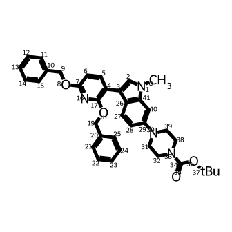 Cn1cc(-c2ccc(OCc3ccccc3)nc2OCc2ccccc2)c2ccc(N3CCN(C(=O)OC(C)(C)C)CC3)cc21